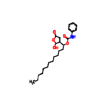 CCCCCCCCCCCCC(OC(=O)Nc1ccccc1)C1=CC(=O)OC1O